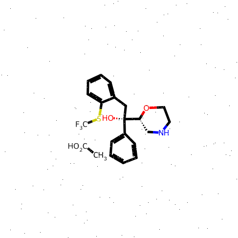 CC(=O)O.O[C@@](Cc1ccccc1SC(F)(F)F)(c1ccccc1)[C@H]1CNCCO1